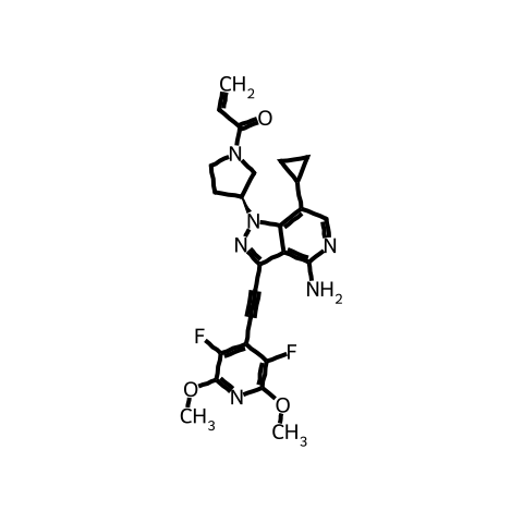 C=CC(=O)N1CC[C@H](n2nc(C#Cc3c(F)c(OC)nc(OC)c3F)c3c(N)ncc(C4CC4)c32)C1